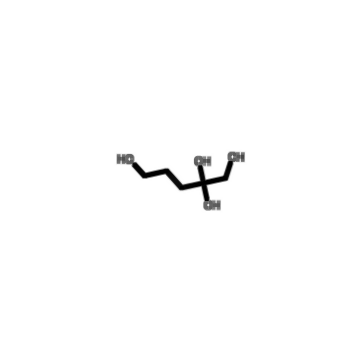 OCCCC(O)(O)CO